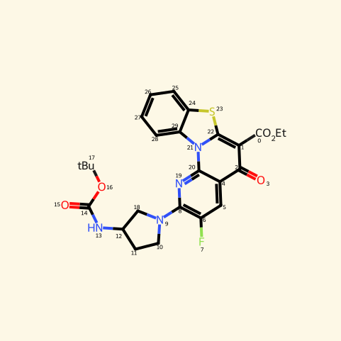 CCOC(=O)c1c(=O)c2cc(F)c(N3CCC(NC(=O)OC(C)(C)C)C3)nc2n2c1sc1ccccc12